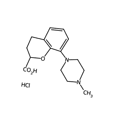 CN1CCN(c2cccc3c2OC(C(=O)O)CC3)CC1.Cl